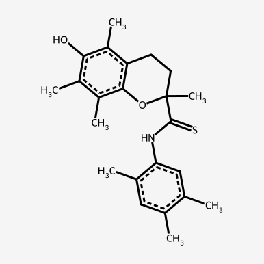 Cc1cc(C)c(NC(=S)C2(C)CCc3c(C)c(O)c(C)c(C)c3O2)cc1C